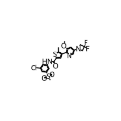 COc1cc(N2CC(F)(F)C2)cnc1-c1cc(C(=O)Nc2cc(Cl)cc(S(C)(=O)=O)c2)sc1C